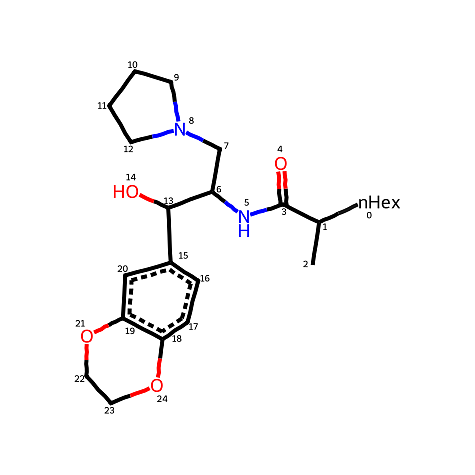 CCCCCCC(C)C(=O)NC(CN1CCCC1)C(O)c1ccc2c(c1)OCCO2